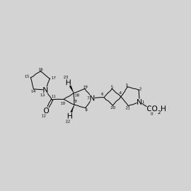 O=C(O)N1CCC2(CC(N3C[C@@H]4C(C(=O)N5CCCC5)[C@@H]4C3)C2)C1